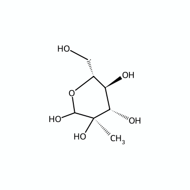 C[C@]1(O)C(O)O[C@H]([CH]O)[C@@H](O)[C@@H]1O